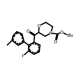 Cc1cccc(-c2c(F)cccc2C(=O)C2CN(C(=O)OC(C)(C)C)CCO2)c1